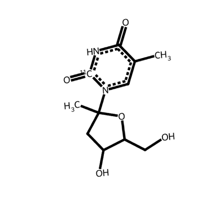 Cc1cn(C2(C)CC(O)C(CO)O2)[11c](=O)[nH]c1=O